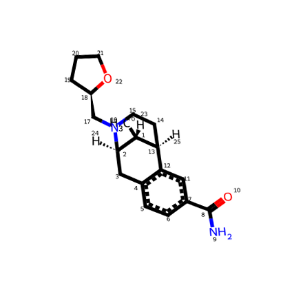 C[C@H]1[C@H]2Cc3ccc(C(N)=O)cc3[C@@H]1CCN2C[C@H]1CCCO1